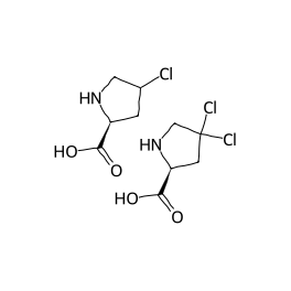 O=C(O)[C@@H]1CC(Cl)(Cl)CN1.O=C(O)[C@@H]1CC(Cl)CN1